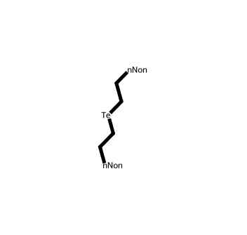 CCCCCCCCCCC[Te]CCCCCCCCCCC